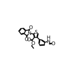 CCOC(=O)c1c(-c2cccc(NC=O)c2)csc1N1C(=O)c2ccccc2C1=O